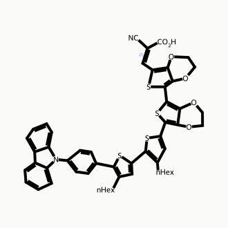 CCCCCCc1cc(-c2sc(-c3sc(-c4sc(/C=C(/C#N)C(=O)O)c5c4OCCO5)c4c3OCCO4)cc2CCCCCC)sc1-c1ccc(-n2c3ccccc3c3ccccc32)cc1